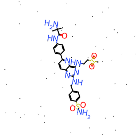 CC(C)(N)C(=O)Nc1ccc(-c2ccc3nc(NCc4ccc(S(N)(=O)=O)cc4)nc(NCCS(C)(=O)=O)c3n2)cc1